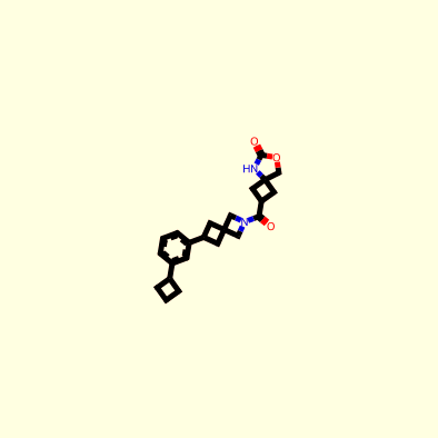 O=C1NC2(CO1)CC(C(=O)N1CC3(CC(c4cccc(C5CCC5)c4)C3)C1)C2